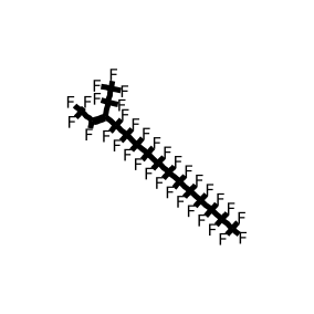 FC(=C(C(F)(F)C(F)(F)F)C(F)(F)C(F)(F)C(F)(F)C(F)(F)C(F)(F)C(F)(F)C(F)(F)C(F)(F)C(F)(F)C(F)(F)C(F)(F)C(F)(F)F)C(F)(F)F